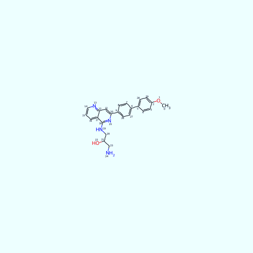 COc1ccc(-c2ccc(-c3cc4ncccc4c(NCC(O)CN)n3)cc2)cc1